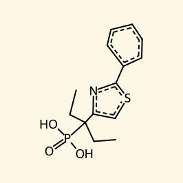 CCC(CC)(c1csc(-c2ccccc2)n1)P(=O)(O)O